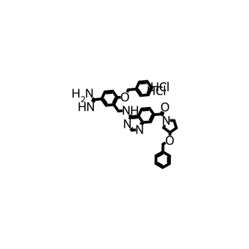 Cl.Cl.N=C(N)c1ccc(OCc2ccccc2)c(CNc2ncnc3cc(C(=O)N4CCC(OCc5ccccc5)C4)ccc23)c1